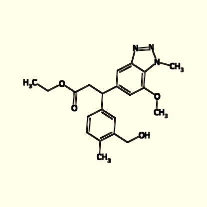 CCOC(=O)CC(c1ccc(C)c(CO)c1)c1cc(OC)c2c(c1)nnn2C